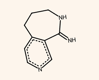 N=C1NCCCc2ccncc21